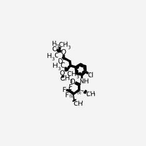 C#C[C@H]([C@@H](C#C)C(=O)Nc1cc(C(CC(=O)OC(C)(C)C)C(C)(C)OC)ccc1Cl)C(F)(F)F